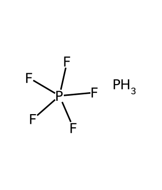 FP(F)(F)(F)F.P